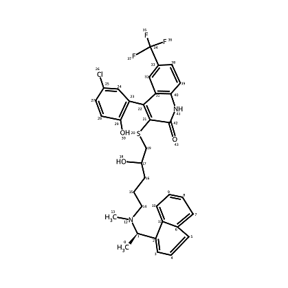 C[C@H](c1cccc2ccccc12)N(C)CCCC(O)CSc1c(-c2cc(Cl)ccc2O)c2cc(C(F)(F)F)ccc2[nH]c1=O